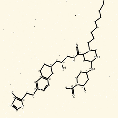 CCCCCCCCCN1CNC(NC2CCN(C(C)=O)[C@H](C)C2)CC1C(=O)NC[C@H](O)CN1CCc2cc(OCc3ocnc3C)ccc2C1